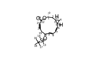 C[C@@H]1C[C@H]2C[C@@H]2/C=C\C=C\C(O[Si](C)(C)C(C)(C)C)CC#CC(=O)O1